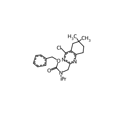 CC(C)N(Cc1nc(Cl)c2c(n1)CCC(C)(C)C2)C(=O)OCc1ccccc1